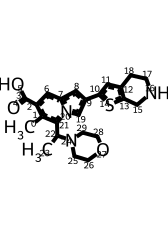 Cc1c(C(=O)O)cc2cc(-c3cc4c(s3)CNCC4)cn2c1C(C)N1CCOCC1